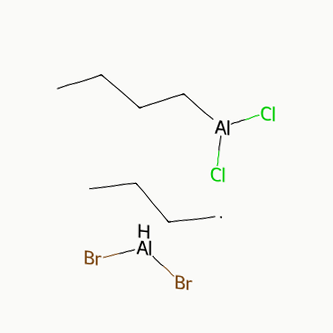 CCC[CH2][Al]([Cl])[Cl].[Br][AlH][Br].[CH2]CCC